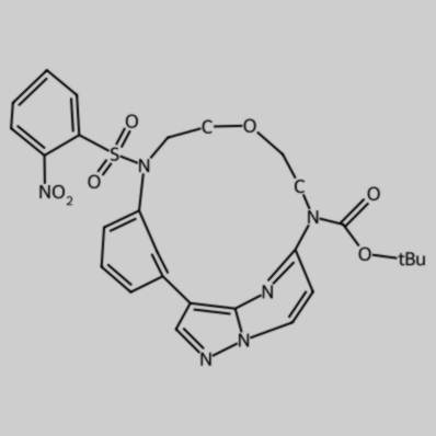 CC(C)(C)OC(=O)N1CCOCCN(S(=O)(=O)c2ccccc2[N+](=O)[O-])c2cccc(c2)-c2cnn3ccc1nc23